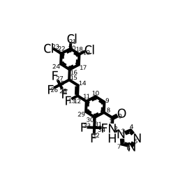 O=C(Nn1cnnc1)c1ccc(C(F)=CC(c2cc(Cl)c(Cl)c(Cl)c2)C(F)(F)F)cc1C(F)(F)F